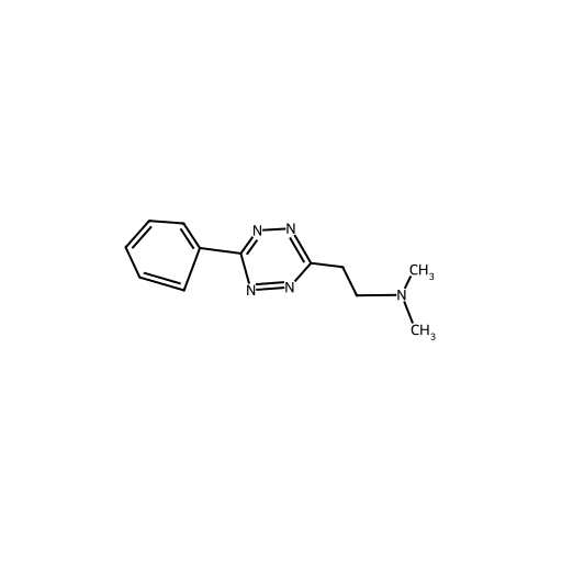 CN(C)CCc1nnc(-c2ccccc2)nn1